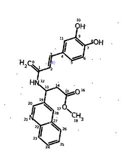 C=C(/C=C/c1ccc(O)c(O)c1)NC(CC(=O)OC)c1cnc2ccccc2c1